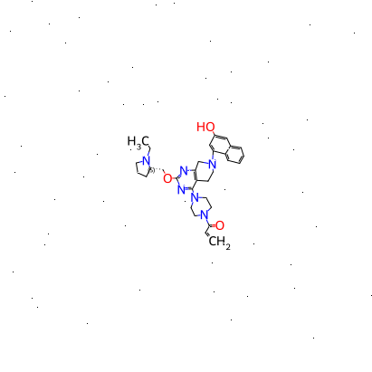 C=CC(=O)N1CCN(c2nc(OC[C@@H]3CCCN3CC)nc3c2CCN(c2cc(O)cc4ccccc24)C3)CC1